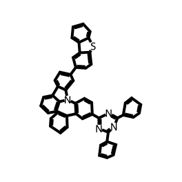 c1ccc(-c2nc(-c3ccccc3)nc(-c3ccc(-n4c5ccccc5c5ccc(-c6ccc7sc8ccccc8c7c6)cc54)c(-c4ccccc4)c3)n2)cc1